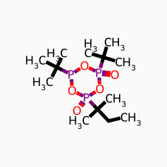 CCC(C)(C)P1(=O)OP(C(C)(C)C)OP(=O)(C(C)(C)C)O1